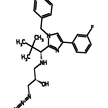 CC(C)(C)[C@@H](NC[C@H](O)CN=[N+]=[N-])c1nc(-c2cccc(F)c2)cn1Cc1ccccc1